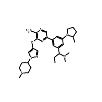 CCC(c1cc(-c2cnc(N)c(Oc3cnn(C4CCN(C)CC4)c3)n2)cc(N2CCCC2C)c1)N(C)C